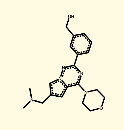 CN(C)Cc1cc2c(N3CCOCC3)nc(-c3cccc(CO)c3)nn2c1